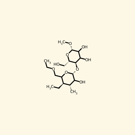 CCOCC1O[C@H](O[C@@H]2C(O)C(O)[C@@H](OC)O[C@H]2CO)C(O)[C@H](C)[C@H]1CC